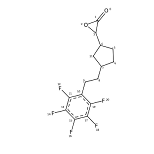 O=C1OC1C1[CH]CC(C[CH]c2c(F)c(F)c(F)c(F)c2F)C1